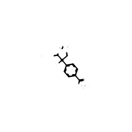 CCCC(C[SH](=O)=O)(c1ccc(C(=O)OC)cc1)C(C)F